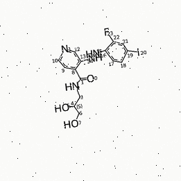 O=C(NC[C@H](O)CO)c1ccncc1NNc1ccc(I)cc1F